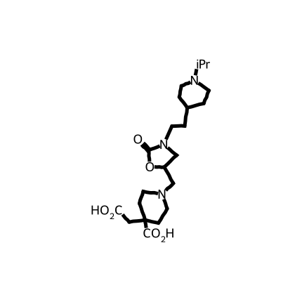 CC(C)N1CCC(CCN2CC(CN3CCC(CC(=O)O)(C(=O)O)CC3)OC2=O)CC1